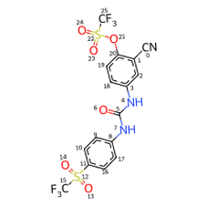 N#Cc1cc(NC(=O)Nc2ccc(S(=O)(=O)C(F)(F)F)cc2)ccc1OS(=O)(=O)C(F)(F)F